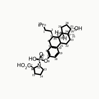 CC(C)CC[C@@H]1Cc2cc(OP(=O)(O)N3CCC[C@H]3C(=O)O)ccc2C2CC[C@]3(C)[C@@H](O)CC[C@H]3[C@@H]21